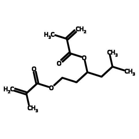 C=C(C)C(=O)OCCC(CC(C)C)OC(=O)C(=C)C